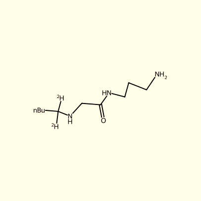 [2H]C([2H])(CCCC)NCC(=O)NCCCN